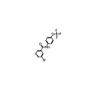 O=C(Nc1ccc(OC(F)(F)F)cc1)c1cncc(Br)c1